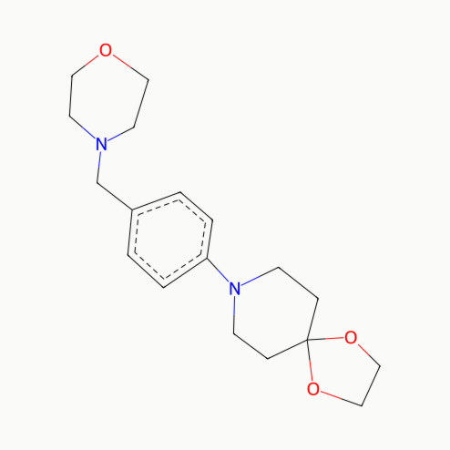 c1cc(N2CCC3(CC2)OCCO3)ccc1CN1CCOCC1